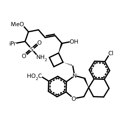 COC(C/C=C/C(O)[C@@H]1CC[C@H]1CN1C[C@@]2(CCCc3cc(Cl)ccc32)COc2ccc(C(=O)O)cc21)C(C(C)C)S(N)(=O)=O